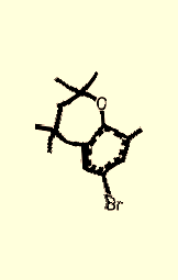 Cc1cc(Br)cc2c1OC(C)(C)CC2(C)C